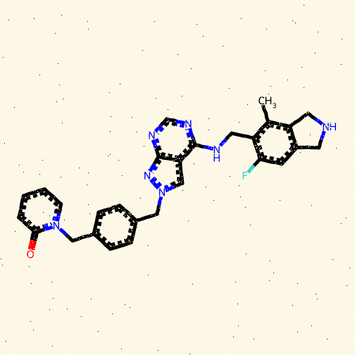 Cc1c(CNc2ncnc3nn(Cc4ccc(Cn5ccccc5=O)cc4)cc23)c(F)cc2c1CNC2